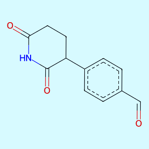 O=Cc1ccc(C2CCC(=O)NC2=O)cc1